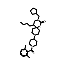 CCCCC1CN(CC2CCCC2)C(=O)OC12CCN(C1CCN(C(=O)c3c(C)cccc3C)CC1)CC2